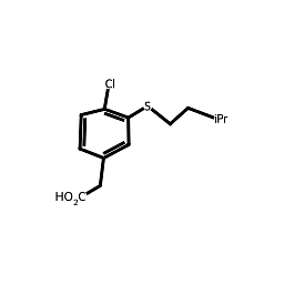 CC(C)CCSc1cc(CC(=O)O)ccc1Cl